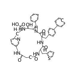 O=C1CCC(=O)N[C@H](Cc2cccs2)C(=O)N[C@@H](Cc2ccc(-c3ccccc3)cc2)C(=O)N[C@H](Cc2ccccc2)C(=O)N[C@H](C(=O)O)Cc2ccc(cn2)N1